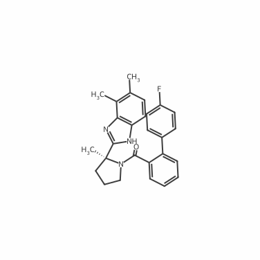 Cc1ccc2[nH]c([C@]3(C)CCCN3C(=O)c3ccccc3-c3ccc(F)cc3)nc2c1C